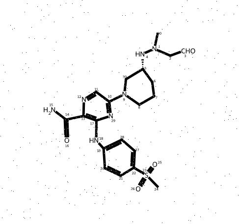 CN(CC=O)N[C@@H]1CCCN(c2cnc(C(N)=O)c(Nc3ccc(S(C)(=O)=O)cc3)n2)C1